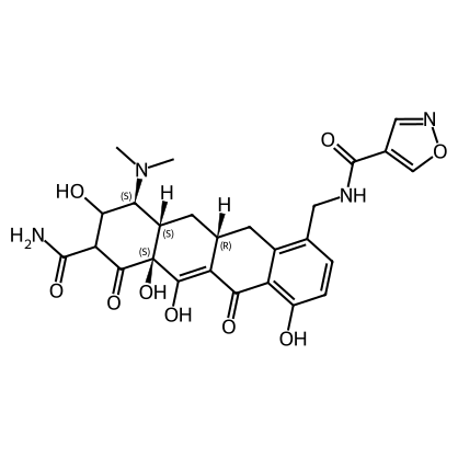 CN(C)[C@@H]1C(O)C(C(N)=O)C(=O)[C@@]2(O)C(O)=C3C(=O)c4c(O)ccc(CNC(=O)c5cnoc5)c4C[C@H]3C[C@@H]12